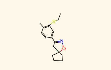 CCSc1cc(C2=NOC3(CCCC3)C2)ccc1C